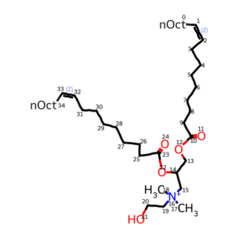 CCCCCCCC/C=C\CCCCCCCC(=O)OCC(C[N+](C)(C)CCO)OC(=O)CCCCCCC/C=C\CCCCCCCC